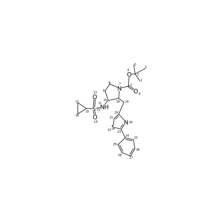 CC(C)(C)OC(=O)N1CCC(NS(=O)(=O)C2CC2)C1Cc1csc(-c2ccccc2)n1